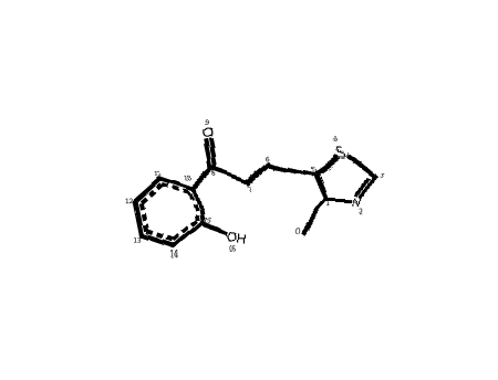 CC1N=CSC1CCC(=O)c1ccccc1O